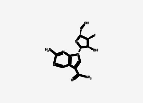 NC(=O)c1cn([C@@H]2O[C@H](CO)[C@@H](F)[C@H]2O)c2nc(N)ncc12